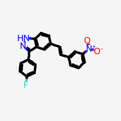 O=[N+]([O-])c1cccc(C=Cc2ccc3[nH]nc(-c4ccc(F)cc4)c3c2)c1